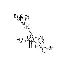 C=CC(=O)Nc1cc2c(Nc3cccc(Br)c3)ncnc2cc1OCCCN1CCN(CP(=O)(OCC)OCC)CC1